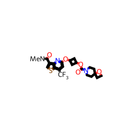 CNC(=O)c1csc2c(C(F)(F)F)cc(OC3CC(OC(=O)N4CCC5(CCO5)CC4)C3)nc12